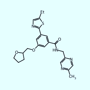 CCc1cnc(-c2cc(OCC3CCCO3)cc(C(=O)NCc3cnc(C)cn3)c2)s1